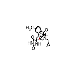 Cc1ccc2c(c1)[C@]13CCN(CC4CC4)[C@H](C2=O)[C@]1(O)CC[C@@]1(C3)NC(=O)NC1=O